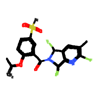 CCS(=O)(=O)c1ccc(OC(C)C(F)(F)F)c(C(=O)N2C(F)c3cc(C)c(F)nc3C2F)c1